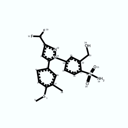 CSc1ccc(-c2cc(C(F)F)nn2-c2ccc(S(N)(=O)=O)c(CO)c2)cc1C